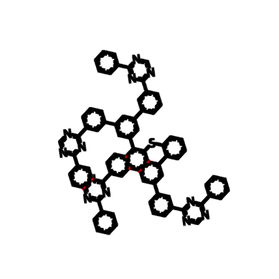 c1ccc(-c2ncnc(-c3cccc(-c4cc(-c5cccc(-c6ncnc(-c7ccccc7)n6)c5)cc(-c5ccccc5Sc5ccccc5-c5cc(-c6cccc(-c7ncnc(-c8ccccc8)n7)c6)cc(-c6cccc(-c7ncnc(-c8ccccc8)n7)c6)c5)c4)c3)n2)cc1